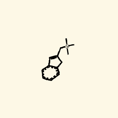 C[Si](C)(C)CC1=Cc2ccccc2C1